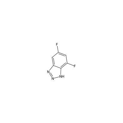 Fc1cc(F)c2[nH]nnc2c1